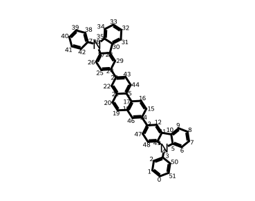 c1ccc(-n2c3ccccc3c3cc(-c4ccc5c(ccc6cc(-c7ccc8c(c7)c7ccccc7n8-c7ccccc7)ccc65)c4)ccc32)cc1